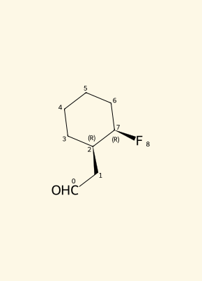 O=CC[C@H]1CCCC[C@H]1F